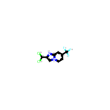 FC(F)(F)c1ccn2cc(C(Cl)Cl)nc2c1